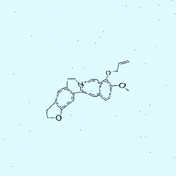 C=CCOc1c(OC)ccc2cc3[n+](cc12)CCc1cc2c(cc1-3)OCC2